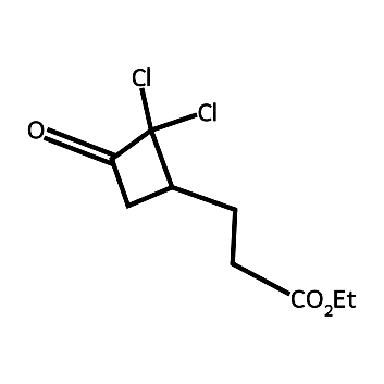 CCOC(=O)CCC1CC(=O)C1(Cl)Cl